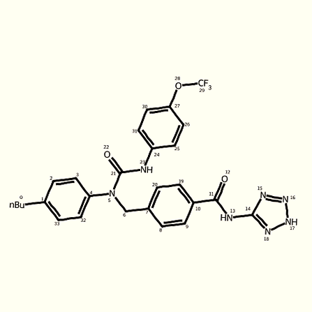 CCCCc1ccc(N(Cc2ccc(C(=O)Nc3nn[nH]n3)cc2)C(=O)Nc2ccc(OC(F)(F)F)cc2)cc1